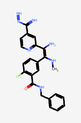 CN/C(=C(\N)c1cc(C(=N)N=N)ccn1)c1ccc(F)c(C(=O)NCc2ccccc2)c1